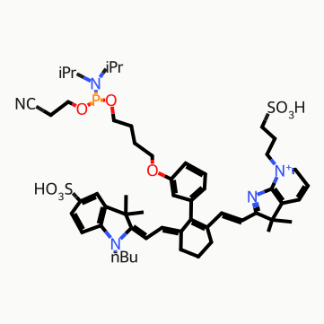 CCCCN1/C(=C/C=C2\CCCC(/C=C/C3=Nc4c(ccc[n+]4CCCS(=O)(=O)O)C3(C)C)=C2c2cccc(OCCCCOP(OCCC#N)N(C(C)C)C(C)C)c2)C(C)(C)c2cc(S(=O)(=O)O)ccc21